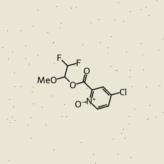 COC(OC(=O)c1cc(Cl)cc[n+]1[O-])C(F)F